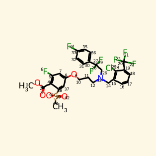 COC(=O)c1c(F)cc(OCCCN(Cc2cccc(C(F)(F)F)c2Cl)CC(F)(F)c2ccc(F)cc2)cc1S(C)(=O)=O